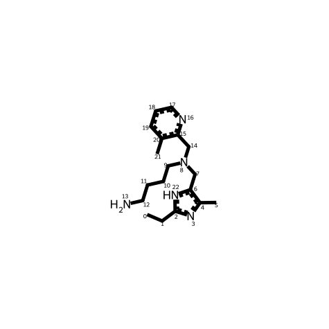 CCc1nc(C)c(CN(CCCCN)Cc2ncccc2C)[nH]1